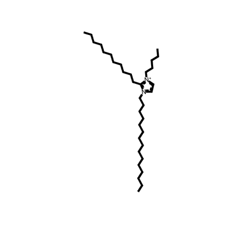 CCCCCCCCCCCCCCCn1cc[n+](CCCCC)c1CCCCCCCCCCC